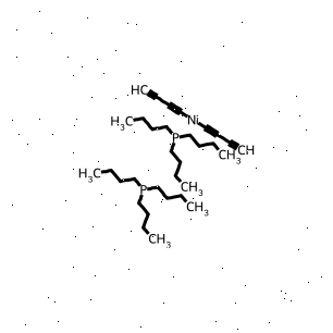 C#CC#[C][Ni][C]#CC#C.CCCCP(CCCC)CCCC.CCCCP(CCCC)CCCC